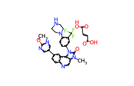 COc1ncc(-c2ccc3ncc4c(c3c2)n(-c2ccc(N3CCNCC3)c(C(F)(F)F)c2)c(=O)n4C)cn1.O=C(O)C=CC(=O)O